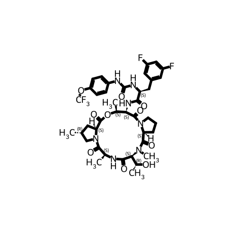 C[C@@H]1C[C@H]2C(=O)O[C@@H](C)[C@H](NC(=O)[C@H](Cc3cc(F)cc(F)c3)NC(=O)Nc3ccc(OC(F)(F)F)cc3)C(=O)N3CCC[C@H]3C(=O)N(C)[C@@H]([C@@H](C)O)C(=O)N[C@@H](C)C(=O)N2C1